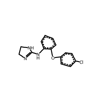 Clc1ccc(Oc2ccccc2NC2=NCCN2)cc1